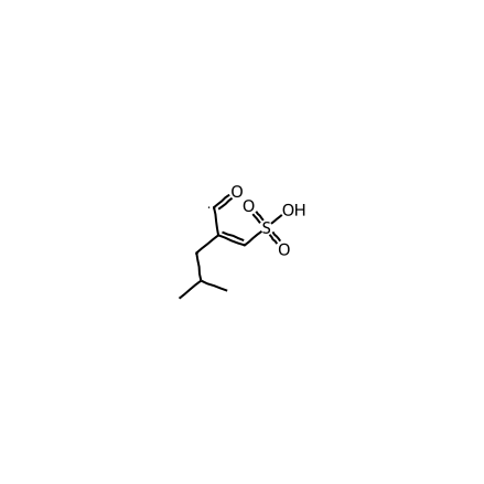 CC(C)CC([C]=O)=CS(=O)(=O)O